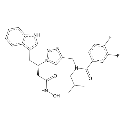 CC(C)CN(Cc1cn([C@@H](CC(=O)NO)Cc2c[nH]c3ccccc23)nn1)C(=O)c1ccc(F)c(F)c1